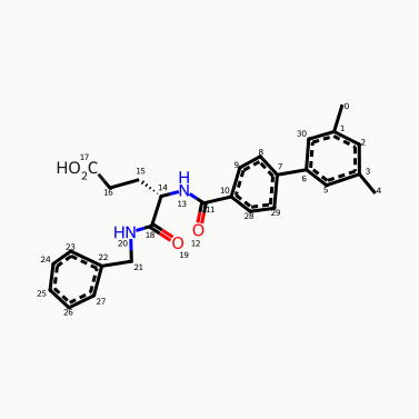 Cc1cc(C)cc(-c2ccc(C(=O)N[C@@H](CCC(=O)O)C(=O)NCc3ccccc3)cc2)c1